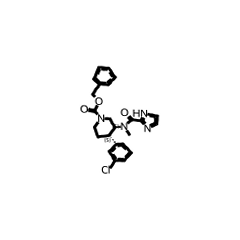 CN(C(=O)c1ncc[nH]1)[C@@H]1CN(C(=O)OCc2ccccc2)CC[C@H]1c1cccc(Cl)c1